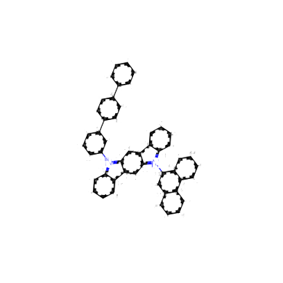 c1ccc(-c2ccc(-c3cccc(-n4c5ccccc5c5cc6c(cc54)c4ccccc4n6-c4cc5ccccc5c5ccccc45)c3)cc2)cc1